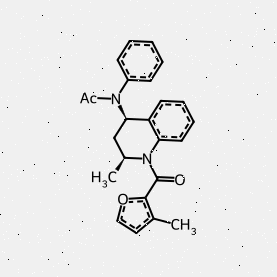 CC(=O)N(c1ccccc1)[C@@H]1C[C@H](C)N(C(=O)c2occc2C)c2ccccc21